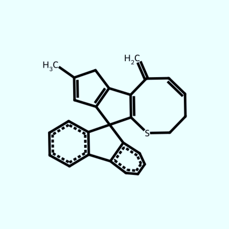 C=C1/C=C\CCSC2=C1C1=C(C=C(C)C1)C21c2ccccc2-c2ccccc21